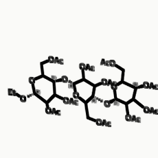 CCO[C@@H]1OC(COC(C)=O)[C@@H](O[C@H]2OC(COC(C)=O)[C@@H](O[C@H]3OC(COC(C)=O)[C@@H](OC(C)=O)C(OC(C)=O)C3OC(C)=O)C(OC(C)=O)C2OC(C)=O)C(OC(C)=O)C1OC(C)=O